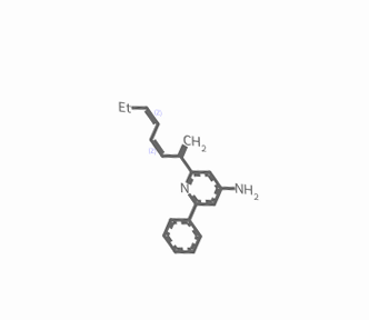 C=C(/C=C\C=C/CC)c1cc(N)cc(-c2ccccc2)n1